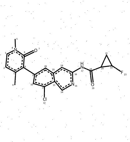 Cc1ccn(C)c(=O)c1-c1cc(Cl)c2cnc(NC(=O)C3CC3F)cc2c1